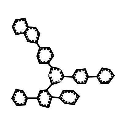 c1ccc(-c2ccc(-c3nc(-c4ccc(-c5ccc6ccccc6c5)cc4)nc(-c4cc(-c5ccccc5)ccc4-c4ccccc4)n3)cc2)cc1